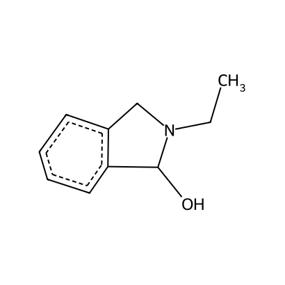 CCN1Cc2ccccc2C1O